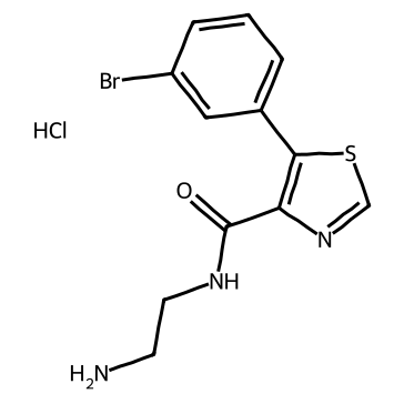 Cl.NCCNC(=O)c1ncsc1-c1cccc(Br)c1